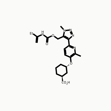 C=C(CC)NC(=O)OCc1c(-c2ccc(O[C@H]3CCC[C@H](C(=O)O)C3)c(C)n2)nnn1C